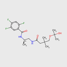 C[C@H](CNC(=O)CC(C)(C)COC(C)(C)O)NC(=O)c1cc(F)c(F)cc1F